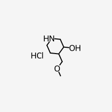 COCC1CCNCC1O.Cl